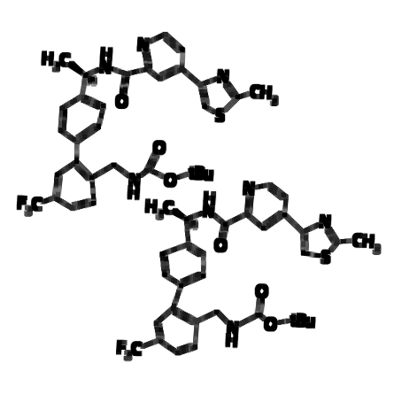 Cc1nc(-c2ccnc(C(=O)N[C@H](C)c3ccc(-c4cc(C(F)(F)F)ccc4CNC(=O)OC(C)(C)C)cc3)c2)cs1.Cc1nc(-c2ccnc(C(=O)N[C@H](C)c3ccc(-c4cc(C(F)(F)F)ccc4CNC(=O)OC(C)(C)C)cc3)c2)cs1